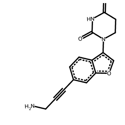 NCC#Cc1ccc2c(N3CCC(=O)NC3=O)coc2c1